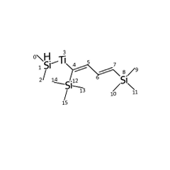 C[SiH](C)[Ti][C](=CC=C[Si](C)(C)C)[Si](C)(C)C